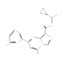 Cc1cc(-c2cccc(Cl)n2)nc2c(C(=O)NC(C)C3CC3)ncn12